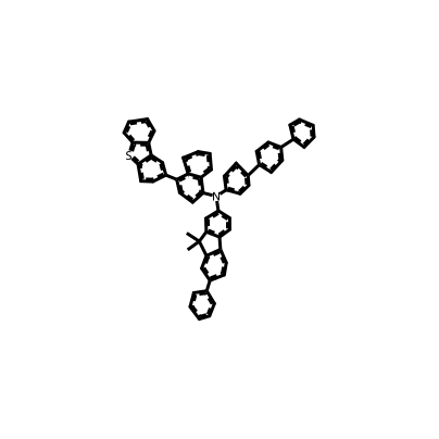 CC1(C)c2cc(-c3ccccc3)ccc2-c2ccc(N(c3ccc(-c4ccc(-c5ccccc5)cc4)cc3)c3ccc(-c4ccc5sc6ccccc6c5c4)c4ccccc34)cc21